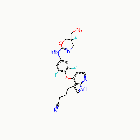 N#CCCCc1c[nH]c2nccc(Oc3c(F)cc(NC4=NCC(F)(CO)CO4)cc3F)c12